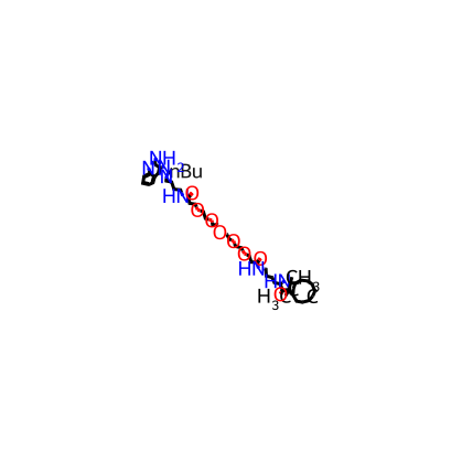 CCCCc1nc2c(N)nc3ccccc3c2n1CCCCNC(=O)CCOCCOCCOCCOCCOCCC(=O)NCCCCC1NC2(C)C3CCCCCCCCC(C3)C2(C)C1=O